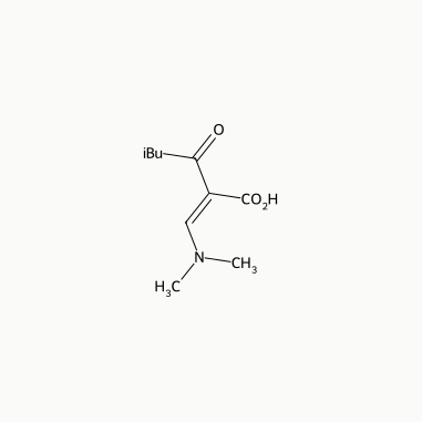 CCC(C)C(=O)C(=CN(C)C)C(=O)O